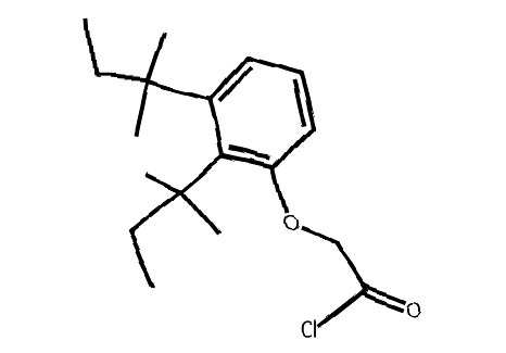 CCC(C)(C)c1cccc(OCC(=O)Cl)c1C(C)(C)CC